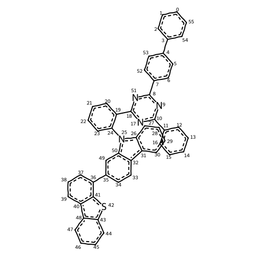 c1ccc(-c2ccc(-c3nc(-c4ccccc4)nc(-c4ccccc4-n4c5ccccc5c5ccc(-c6cccc7c6sc6ccccc67)cc54)n3)cc2)cc1